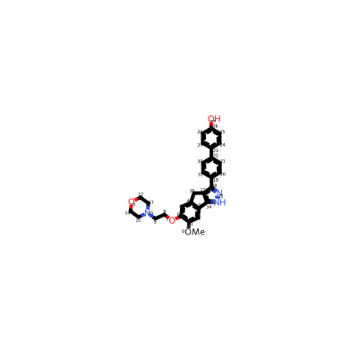 COc1cc2c(cc1OCCN1CCOCC1)Cc1c(-c3ccc(-c4ccc(O)cc4)cc3)n[nH]c1-2